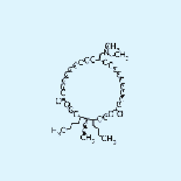 C=C=C=C1C(CCCC)CCOC(=O)CCCCCCCCCC(CN(C)CC)CCCCCCCCCC(=O)OCCC1CCCC